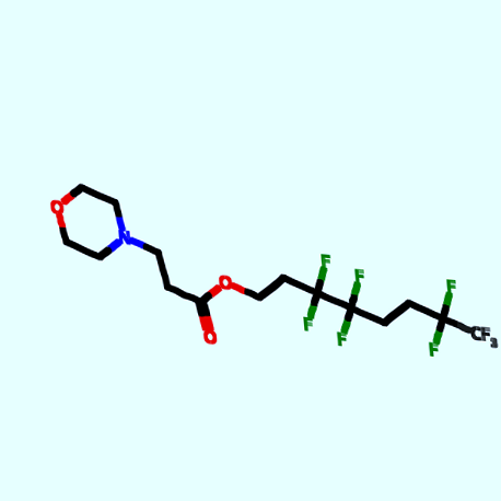 O=C(CCN1CCOCC1)OCCC(F)(F)C(F)(F)CCC(F)(F)C(F)(F)F